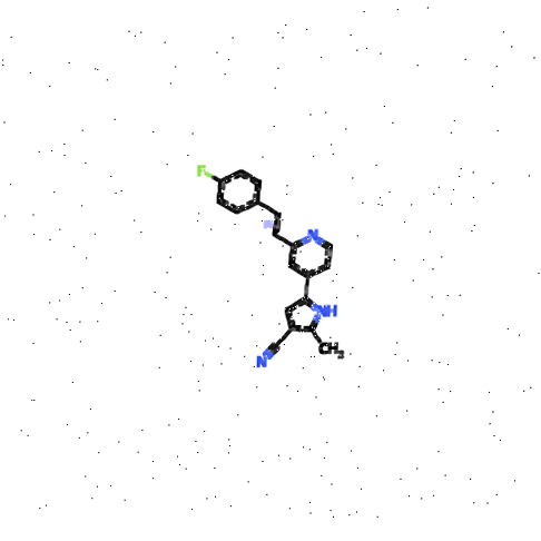 Cc1[nH]c(-c2ccnc(/C=C/c3ccc(F)cc3)c2)cc1C#N